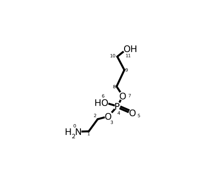 NCCOP(=O)(O)OCCCO